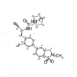 CN1Cc2cc(-c3ccc(C[C@@H](C#N)NC(=O)C45CCC(CC4)CN5)c(F)c3)ccc2S1(=O)=O